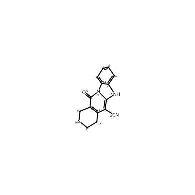 N#Cc1c2c(c(=O)n3c1[nH]c1ccccc13)CSCC2